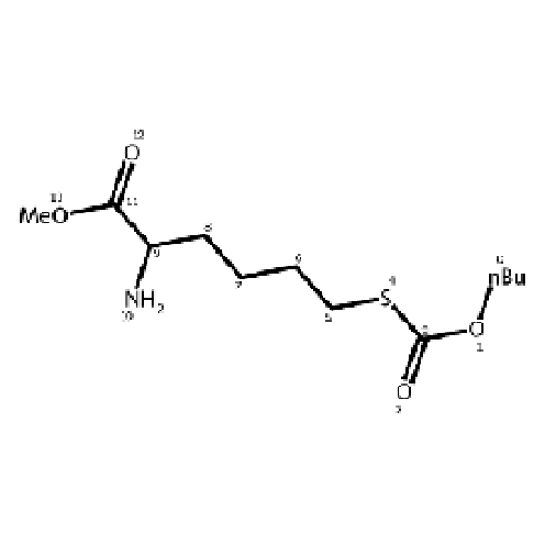 CCCCOC(=O)SCCCCC(N)C(=O)OC